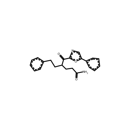 NC(=O)CCC(CCc1ccccc1)C(=O)c1ncc(-c2ccccc2)o1